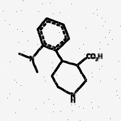 CN(C)c1ccccc1C1CCNCC1C(=O)O